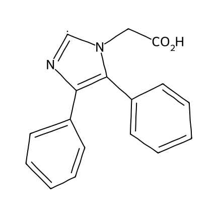 O=C(O)Cn1[c]nc(-c2ccccc2)c1-c1ccccc1